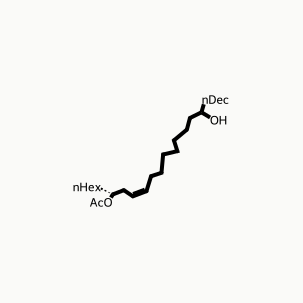 CCCCCCCCCCC(O)CCCCCCC/C=C\C[C@@H](CCCCCC)OC(C)=O